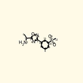 CC(N)c1nc(-c2cccc(S(C)(=O)=O)c2)no1